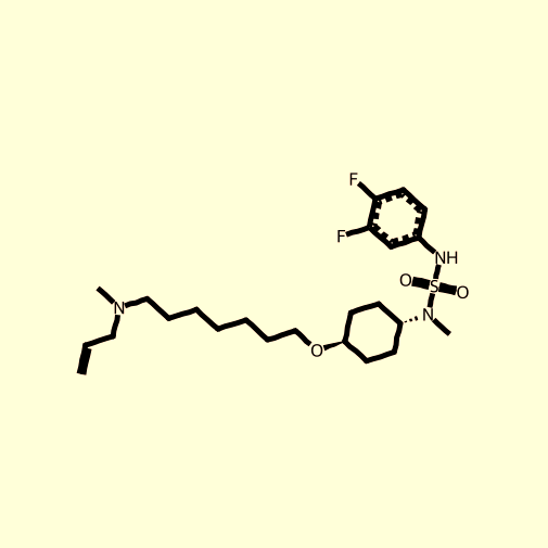 C=CCN(C)CCCCCCCO[C@H]1CC[C@H](N(C)S(=O)(=O)Nc2ccc(F)c(F)c2)CC1